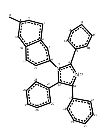 Cc1ccc2cc(-n3c(-c4ccccc4)nc(-c4ccccc4)c3-c3ccccc3)ccc2c1